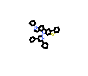 c1ccc(-c2cc(-c3ccccc3)nc(-n3c4cc5sc6ccccc6c5cc4c4ccc5c(ccn5-c5ccccc5)c43)c2)cc1